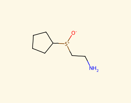 NCC[S+]([O-])C1CCCC1